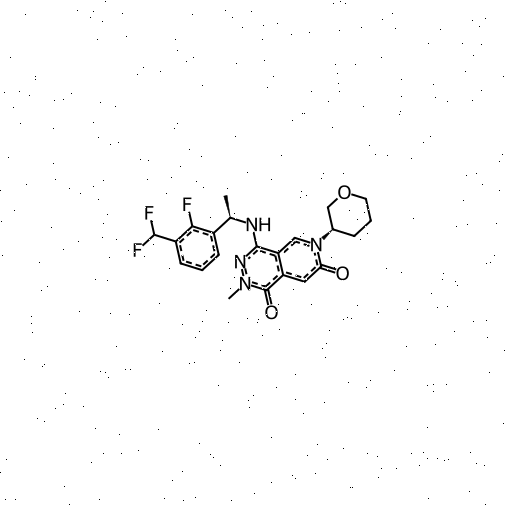 C[C@@H](Nc1nn(C)c(=O)c2cc(=O)n([C@@H]3CCCOC3)cc12)c1cccc(C(F)F)c1F